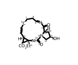 CCOC(=O)[C@@]12C[C@H]1/C=C\CCC/C=N/C(=O)[C@@H]1C[C@@H](O)CN1C(=O)N2